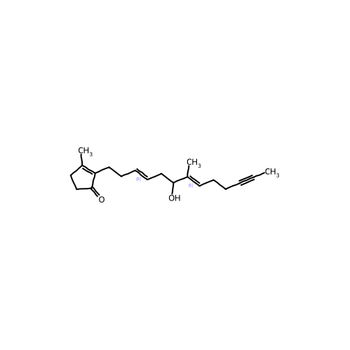 CC#CCC/C=C(\C)C(O)C/C=C/CCC1=C(C)CCC1=O